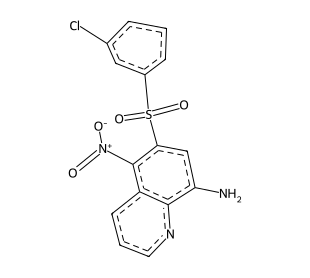 Nc1cc(S(=O)(=O)c2cccc(Cl)c2)c([N+](=O)[O-])c2cccnc12